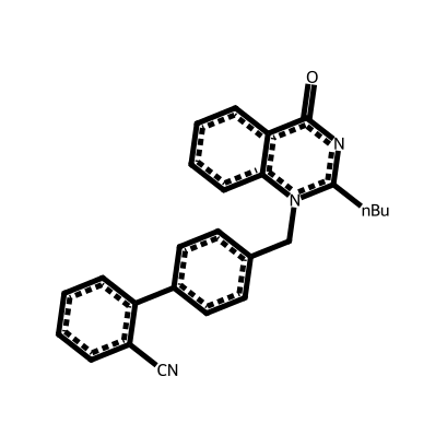 CCCCc1nc(=O)c2ccccc2n1Cc1ccc(-c2ccccc2C#N)cc1